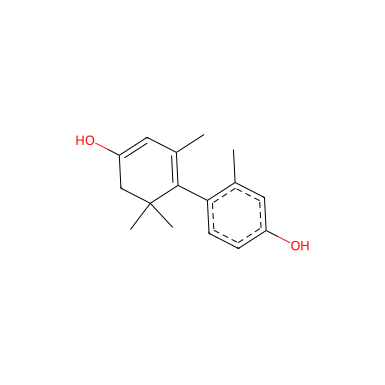 CC1=C(c2ccc(O)cc2C)C(C)(C)CC(O)=C1